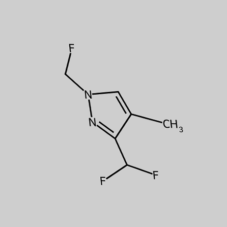 Cc1cn(CF)nc1C(F)F